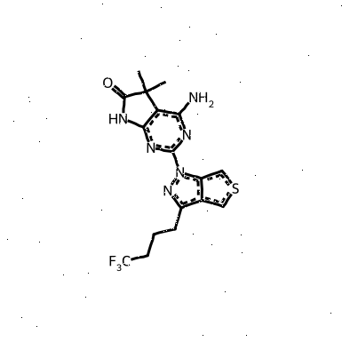 CC1(C)C(=O)Nc2nc(-n3nc(CCCC(F)(F)F)c4cscc43)nc(N)c21